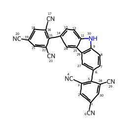 N#Cc1cc(C#N)c(-c2ccc3[nH]c4ccc(-c5c(C#N)cc(C#N)cc5C#N)cc4c3c2)c(C#N)c1